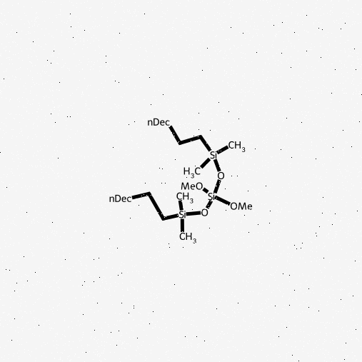 CCCCCCCCCCCC[Si](C)(C)O[Si](OC)(OC)O[Si](C)(C)CCCCCCCCCCCC